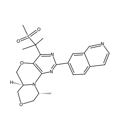 C[C@@H]1COC[C@H]2COc3c(nc(-c4ccc5ccncc5c4)nc3C(C)(C)S(C)(=O)=O)N21